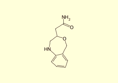 NC(=O)CC1CNc2ccccc2CO1